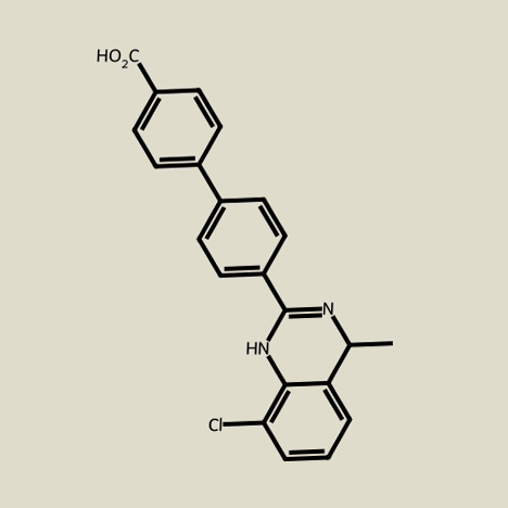 CC1N=C(c2ccc(-c3ccc(C(=O)O)cc3)cc2)Nc2c(Cl)cccc21